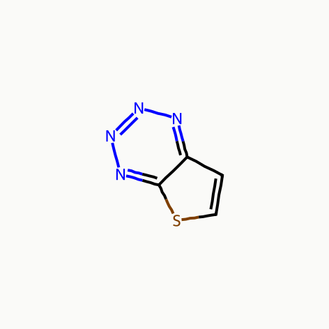 c1cc2nnnnc2s1